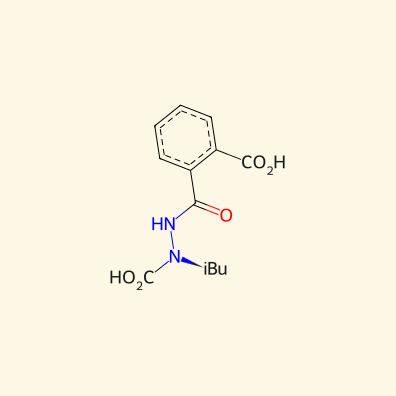 CC[C@H](C)N(NC(=O)c1ccccc1C(=O)O)C(=O)O